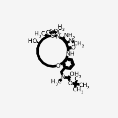 C=N/C1=C(\N)N(C)S(=O)(=O)C(C)(C)C[C@H](O)CCCCCCOc2c(CN(C)C(=O)OC(C)(C)C)cccc2NC1=O